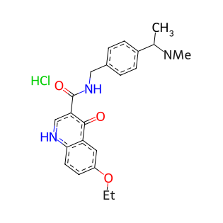 CCOc1ccc2[nH]cc(C(=O)NCc3ccc(C(C)NC)cc3)c(=O)c2c1.Cl